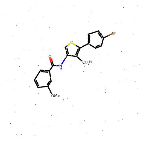 COc1cccc(C(=O)Nc2csc(-c3ccc(Br)cc3)c2C(=O)O)c1